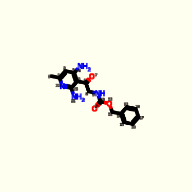 Cc1cc(N)c(C(=O)CNC(=O)OCc2ccccc2)c(N)n1